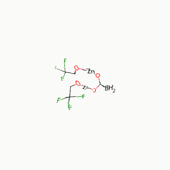 BC([O][Zn][O]CC(F)(F)F)[O][Zn][O]CC(F)(F)F